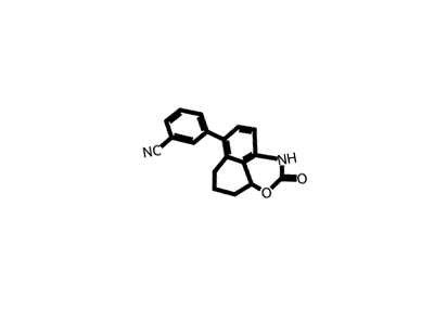 N#Cc1cccc(-c2ccc3c4c2CCCC4OC(=O)N3)c1